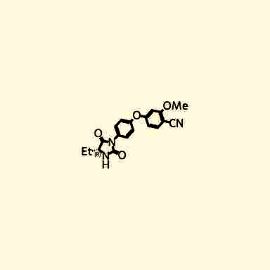 CC[C@H]1NC(=O)N(c2ccc(Oc3ccc(C#N)c(OC)c3)cc2)C1=O